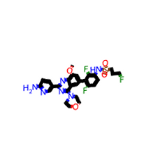 COc1cc(-c2c(F)ccc(NS(=O)(=O)CCCF)c2F)cc2c(N3CCOCC3)nc(-c3ccc(N)nc3)nc12